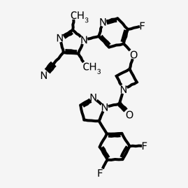 Cc1nc(C#N)c(C)n1-c1cc(OC2CN(C(=O)N3N=CCC3c3cc(F)cc(F)c3)C2)c(F)cn1